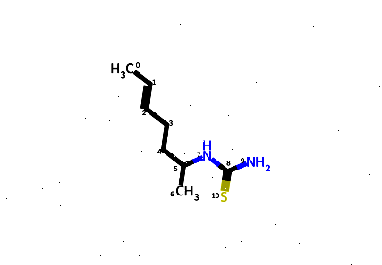 CC=CCCC(C)NC(N)=S